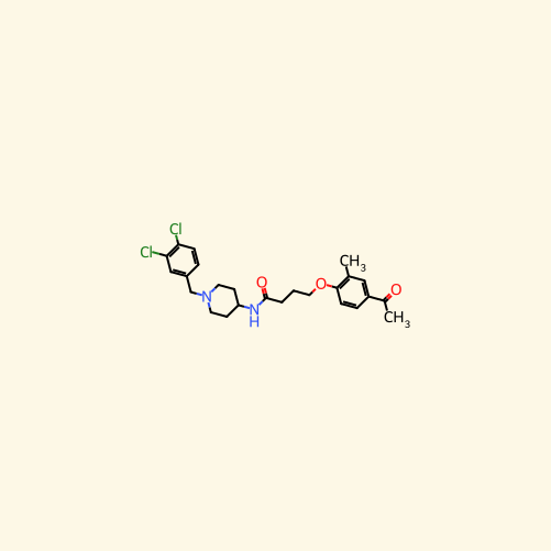 CC(=O)c1ccc(OCCCC(=O)NC2CCN(Cc3ccc(Cl)c(Cl)c3)CC2)c(C)c1